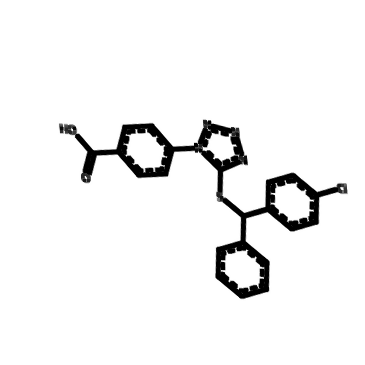 O=C(O)c1ccc(-n2nnnc2SC(c2ccccc2)c2ccc(Cl)cc2)cc1